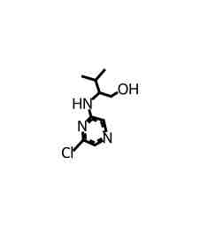 CC(C)C(CO)Nc1cncc(Cl)n1